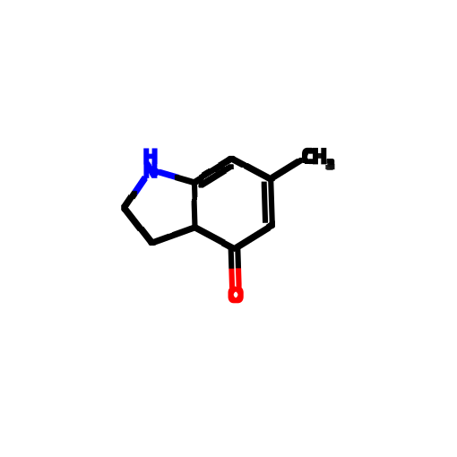 CC1=CC(=O)C2CCNC2=C1